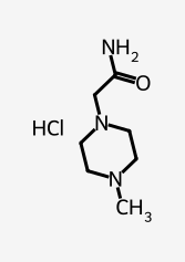 CN1CCN(CC(N)=O)CC1.Cl